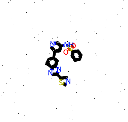 O=S(=O)(Nc1cncc(-c2ccc3ncc(-c4cncs4)nc3c2)c1)c1ccccc1